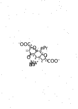 CCCc1c2oc(C(=O)[O-])cc2cc2c(=O)cc(C(=O)[O-])oc12.[Na+].[Na+]